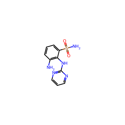 Nc1cccc(S(N)(=O)=O)c1Nc1ncccn1